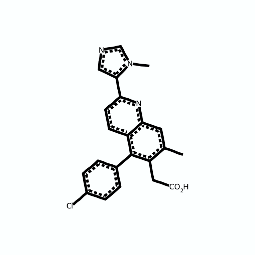 Cc1cc2nc(-c3cncn3C)ccc2c(-c2ccc(Cl)cc2)c1CC(=O)O